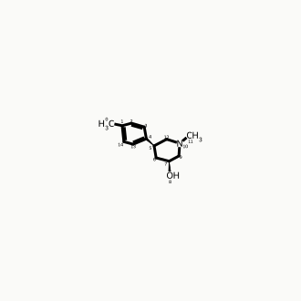 Cc1ccc([C@@H]2C[C@H](O)CN(C)C2)cc1